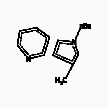 CCCCn1ccc(C)c1.c1ccncc1